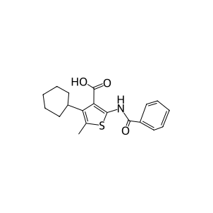 Cc1sc(NC(=O)c2ccccc2)c(C(=O)O)c1C1CCCCC1